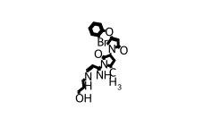 CC1C[C@H](N2CC(Oc3ccccc3Br)=CC2=O)C(=O)N1C(=N)/C=C\NCCCO